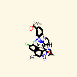 COC(=O)c1ccc2c(c1)nc1n2CC[C@H]2[C@@H]1[C@H](c1cccc(Cl)c1F)[C@]1(C(=O)Nc3cc(C#N)ccc31)N2CC1CC1